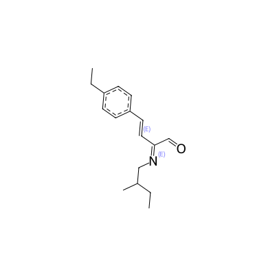 CCc1ccc(/C=C/C(C=O)=N\CC(C)CC)cc1